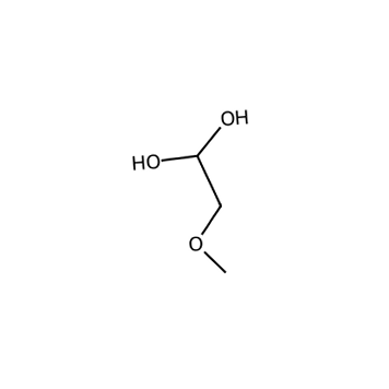 COCC(O)O